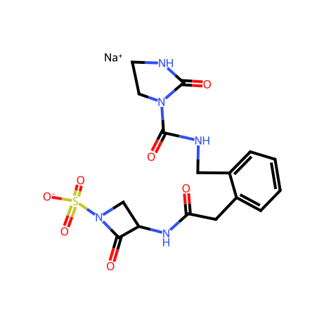 O=C(Cc1ccccc1CNC(=O)N1CCNC1=O)NC1CN(S(=O)(=O)[O-])C1=O.[Na+]